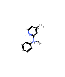 CC(=O)N(c1ccccc1)c1cc(C(F)(F)F)ccn1